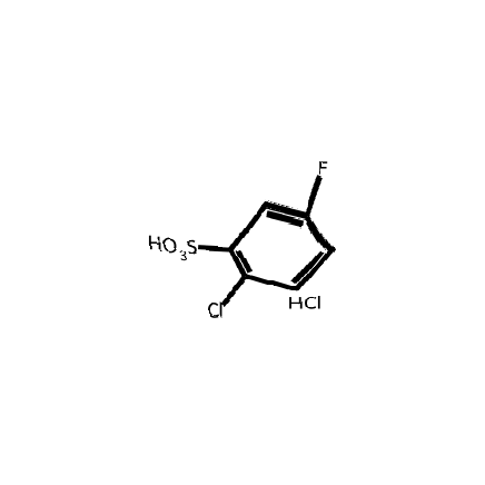 Cl.O=S(=O)(O)c1cc(F)ccc1Cl